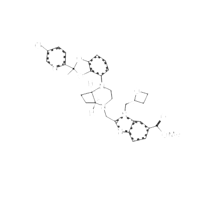 COC(=O)c1ccc2nc(CN3CCN(c4cccc5c4OC(C)(c4ccc(Cl)cn4)O5)[C@@H]4CC[C@H]43)n(C[C@@H]3CCO3)c2c1